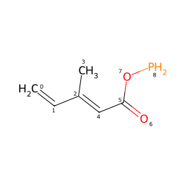 C=C/C(C)=C/C(=O)OP